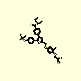 CCN(CC)C(=O)c1ccc(-c2nc(COc3ccc(OCC(=O)O)c(C)c3)oc2-c2ccc(OC(F)(F)F)cc2)cc1